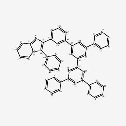 c1ccc(-c2nc(-c3ccccc3)nc(-c3cc(-c4cccnc4)cc(-c4cccc(-c5nc6ccccn6c5-c5ccccc5)c4)c3)n2)cc1